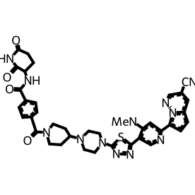 CNc1cc(-c2ccc3cc(C#N)cnn23)ncc1-c1nnc(N2CCN(C3CCN(C(=O)c4ccc(C(=O)NC5CCC(=O)NC5=O)cc4)CC3)CC2)s1